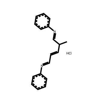 CC(C=CC=Nc1ccccc1)C=Nc1ccccc1.Cl